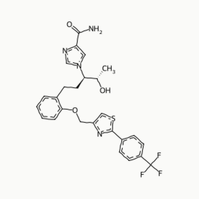 C[C@H](O)[C@@H](CCc1ccccc1OCc1csc(-c2ccc(C(F)(F)F)cc2)n1)n1cnc(C(N)=O)c1